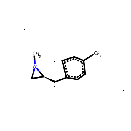 CN1C[C@@H]1Cc1ccc(C(F)(F)F)cc1